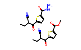 CCC(C#N)C(=O)c1ccc(C(=O)NN)s1.CCC(C#N)C(=O)c1ccc(C(=O)OC)s1